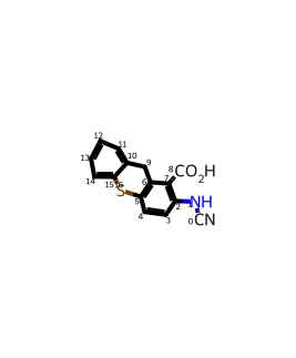 N#CNc1ccc2c(c1C(=O)O)Cc1ccccc1S2